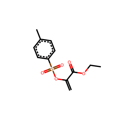 C=C(OS(=O)(=O)c1ccc(C)cc1)C(=O)OCC